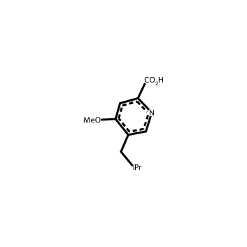 COc1cc(C(=O)O)ncc1CC(C)C